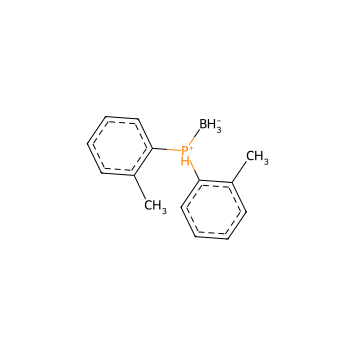 [BH3-][PH+](c1ccccc1C)c1ccccc1C